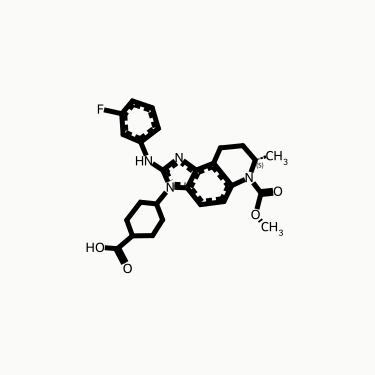 COC(=O)N1c2ccc3c(nc(Nc4cccc(F)c4)n3C3CCC(C(=O)O)CC3)c2CC[C@@H]1C